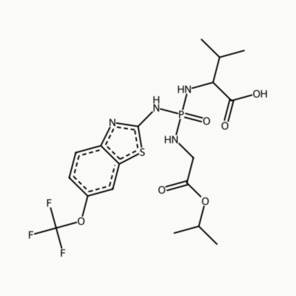 CC(C)OC(=O)CNP(=O)(Nc1nc2ccc(OC(F)(F)F)cc2s1)NC(C(=O)O)C(C)C